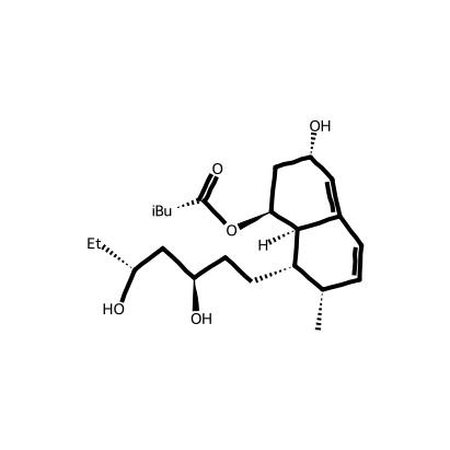 CC[C@@H](O)C[C@H](O)CC[C@@H]1[C@@H]2C(=C[C@@H](O)C[C@@H]2OC(=O)[C@@H](C)CC)C=C[C@@H]1C